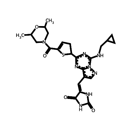 CC1CN(C(=O)C2=CCC(c3nc(NCC4CC4)n4ncc(/C=C5\NC(=O)NC5=O)c4n3)S2)CC(C)O1